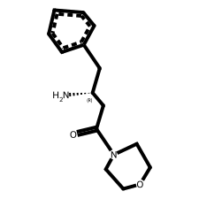 N[C@@H](CC(=O)N1CCOCC1)Cc1ccccc1